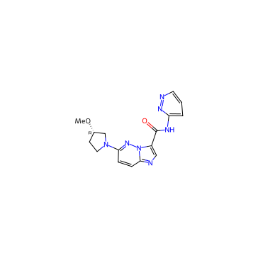 CO[C@H]1CCN(c2ccc3ncc(C(=O)Nc4cccnn4)n3n2)C1